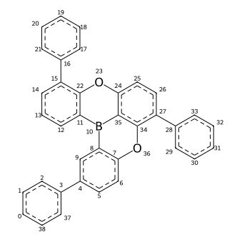 c1ccc(-c2ccc3c(c2)B2c4cccc(-c5ccccc5)c4Oc4ccc(-c5ccccc5)c(c42)O3)cc1